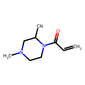 C=CC(=O)N1CCN(C)CC1C#N